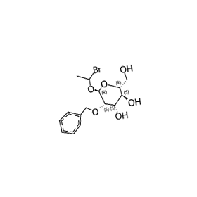 CC(Br)O[C@H]1O[C@H](CO)[C@@H](O)[C@H](O)[C@@H]1OCc1ccccc1